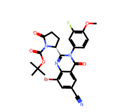 COc1ccc(-n2c([C@H]3CCC(=O)N3C(=O)OC(C)(C)C)nc3c(Br)cc(C#N)cc3c2=O)cc1F